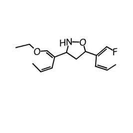 C/C=C\C(=C/OCC)C1CC(C(/C=C\C)=C/F)ON1